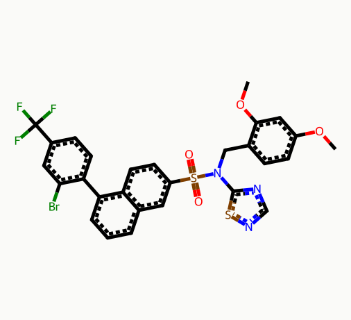 COc1ccc(CN(c2ncns2)S(=O)(=O)c2ccc3c(-c4ccc(C(F)(F)F)cc4Br)cccc3c2)c(OC)c1